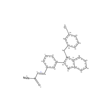 CNC(=O)/C=C/c1cccc(-c2nc3ccccc3n2Cc2cccc(Cl)c2)c1